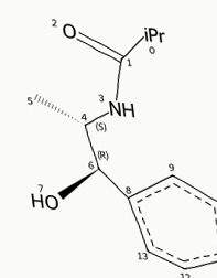 CC(C)C(=O)N[C@@H](C)[C@H](O)c1ccccc1